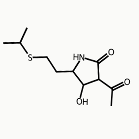 CC(=O)C1C(=O)NC(CCSC(C)C)C1O